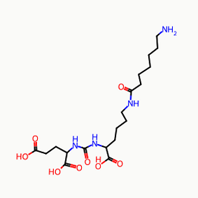 NCCCCCCC(=O)NCCCCC(NC(=O)NC(CCC(=O)O)C(=O)O)C(=O)O